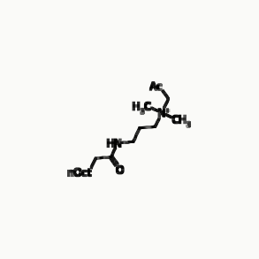 CCCCCCCCCC(=O)NCCC[N+](C)(C)CC(C)=O